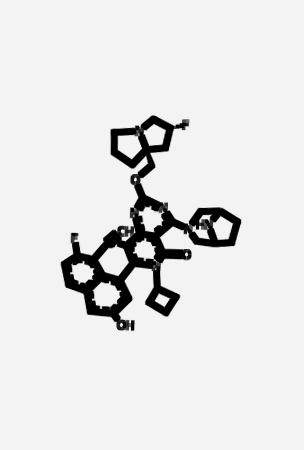 C#Cc1c(F)ccc2cc(O)cc(-c3c(F)c4nc(OC[C@@]56CCCN5C[C@H](F)C6)nc(N5CC6CCC(C5)N6)c4c(=O)n3C3CCC3)c12